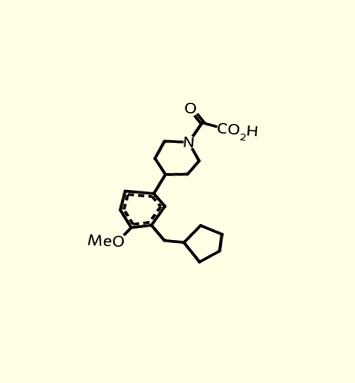 COc1ccc(C2CCN(C(=O)C(=O)O)CC2)cc1CC1CCCC1